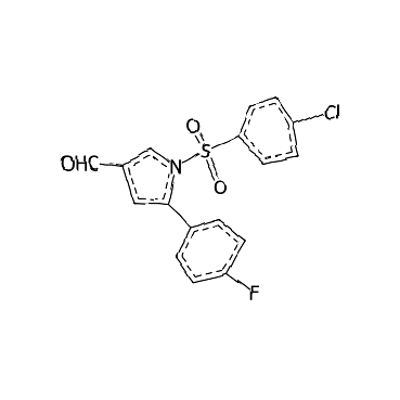 O=Cc1cc(-c2ccc(F)cc2)n(S(=O)(=O)c2ccc(Cl)cc2)c1